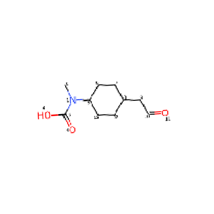 CN(C(=O)O)C1CCC(CC=O)CC1